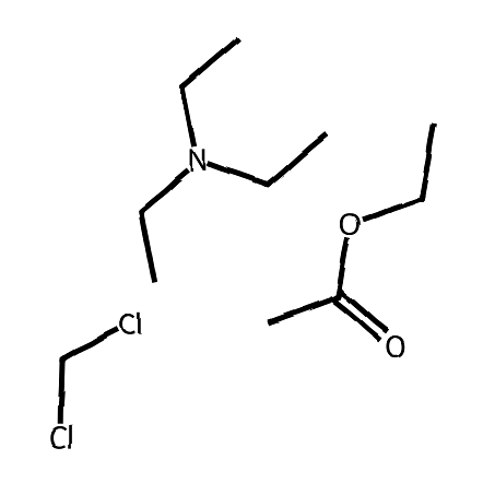 CCN(CC)CC.CCOC(C)=O.ClCCl